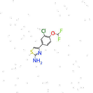 Nc1nc(-c2ccc(OC(F)F)c(Cl)c2)cs1